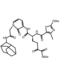 CNC(=O)C(=O)CC[C@H](NC(=O)c1sc(OC)nc1C)C(=O)Nc1cccn(CC(=O)NC2C3CC4CC(C3)CC2C4)c1=O